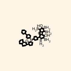 Bc1c(B)c(O)c2c(oc3c(B)c(O)c(B)c(B)c32)c1-c1ccc(N(c2ccc(-c3ccccc3)cc2)c2cccc3c2oc2c4ccccc4ccc32)cc1